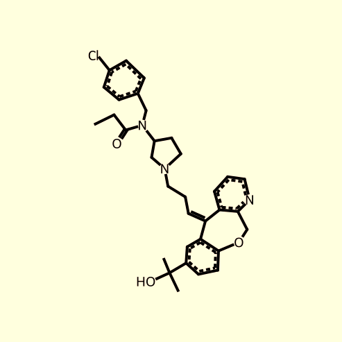 CCC(=O)N(Cc1ccc(Cl)cc1)C1CCN(CCC=C2c3cc(C(C)(C)O)ccc3OCc3ncccc32)C1